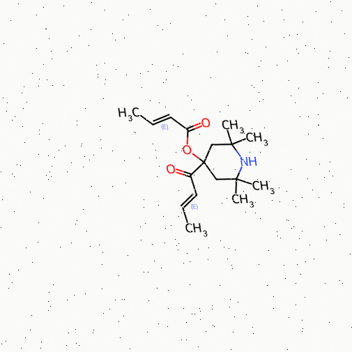 C/C=C/C(=O)OC1(C(=O)/C=C/C)CC(C)(C)NC(C)(C)C1